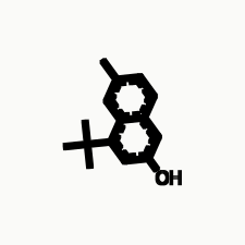 Cc1ccc2cc(O)cc(C(C)(C)C)c2c1